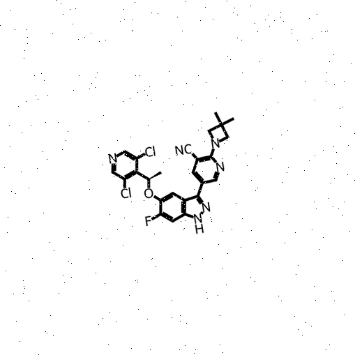 C[C@@H](Oc1cc2c(-c3cnc(N4CC(C)(C)C4)c(C#N)c3)n[nH]c2cc1F)c1c(Cl)cncc1Cl